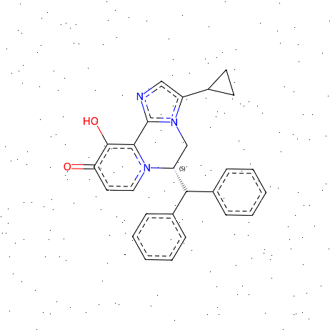 O=c1ccn2c(c1O)-c1ncc(C3CC3)n1C[C@@H]2C(c1ccccc1)c1ccccc1